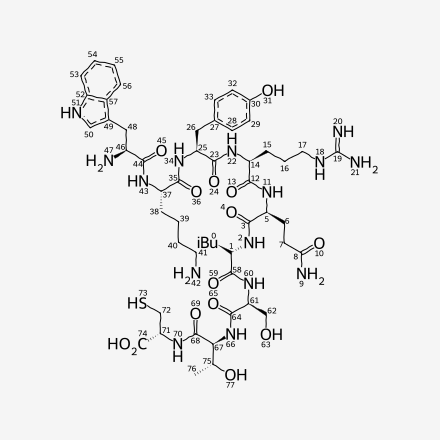 CC[C@H](C)[C@H](NC(=O)[C@H](CCC(N)=O)NC(=O)[C@H](CCCNC(=N)N)NC(=O)[C@H](Cc1ccc(O)cc1)NC(=O)[C@H](CCCCN)NC(=O)[C@@H](N)Cc1c[nH]c2ccccc12)C(=O)N[C@@H](CO)C(=O)N[C@H](C(=O)N[C@@H](CS)C(=O)O)[C@@H](C)O